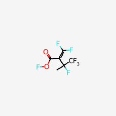 CC(F)(C(C(=O)OF)=C(F)F)C(F)(F)F